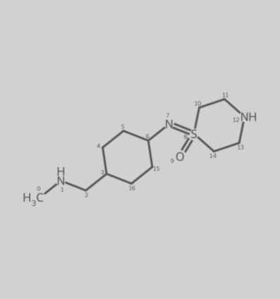 CNCC1CCC(N=S2(=O)CCNCC2)CC1